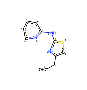 O=CCc1csc(Nc2ccccn2)n1